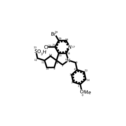 COc1ccc(CN2CC3(CCC(CS(=O)(=O)O)C3)c3c2ncc(Br)c3Cl)cc1